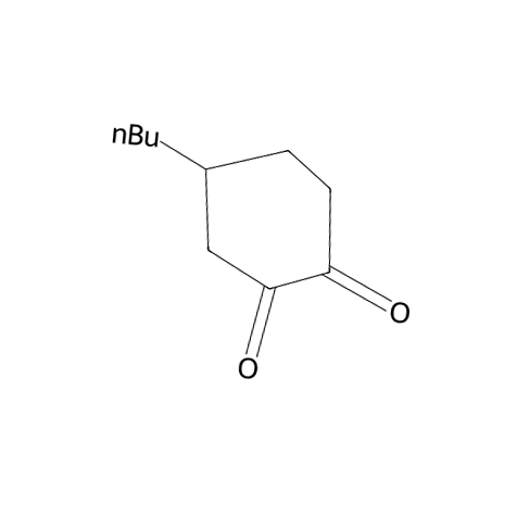 CCCCC1CCC(=O)C(=O)C1